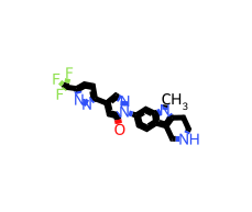 Cn1c2c(c3ccc(-n4ncc(-c5ccc(C(F)(F)F)nn5)cc4=O)cc31)CNCC2